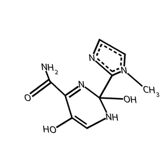 Cn1ccnc1C1(O)N=C(C(N)=O)C(O)=CN1